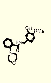 COc1ccc(CNC(=O)c2ccccc2N2CCOCC2)cc1O